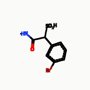 [NH]C(=O)C(c1cccc(Br)c1)S(=O)(=O)O